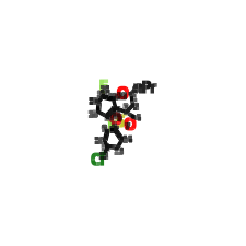 CCC[C@H]1C[C@](C)(S(=O)(=O)c2ccc(Cl)cc2)c2c(F)ccc(F)c2O1